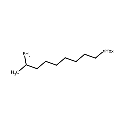 CCCCCCCCCCCCCC(C)P